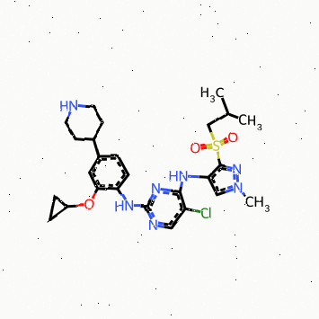 CC(C)CS(=O)(=O)c1nn(C)cc1Nc1nc(Nc2ccc(C3CCNCC3)cc2OC2CC2)ncc1Cl